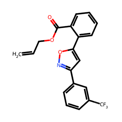 C=CCOC(=O)c1ccccc1-c1cc(-c2cccc(C(F)(F)F)c2)no1